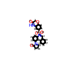 O=C1COc2ccc(S(=O)(=O)N(Cc3ccccc3)c3cccc(N4CCCC4=O)c3)cc2N1